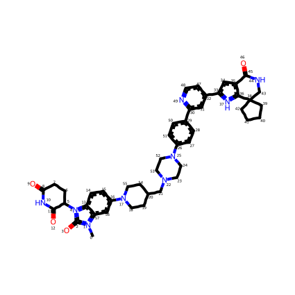 Cn1c(=O)n(C2CCC(=O)NC2=O)c2ccc(N3CCC(CN4CCN(c5ccc(-c6cc(-c7cc8c([nH]7)C7(CCCC7)CNC8=O)ccn6)cc5)CC4)CC3)cc21